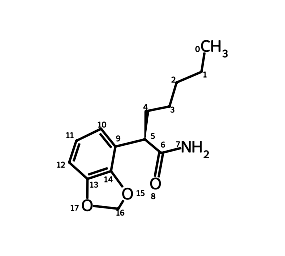 CCCCC[C@@H](C(N)=O)c1cccc2c1OCO2